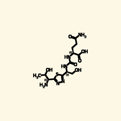 CC(O)[C@H](N)c1nnc([C@H](CO)NC(=O)N[C@@H](CCC(N)=O)C(=O)O)s1